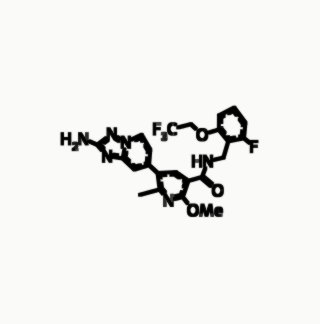 COc1nc(C)c(-c2ccn3nc(N)nc3c2)cc1C(=O)NCc1c(F)cccc1OCC(F)(F)F